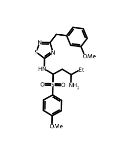 CCC(N)CC(Nc1nc(Cc2cccc(OC)c2)ns1)S(=O)(=O)c1ccc(OC)cc1